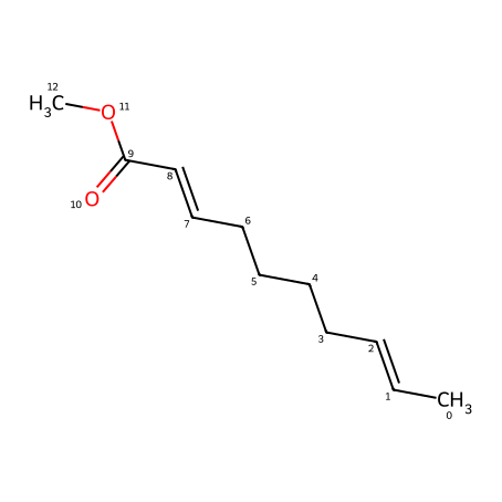 C/C=C/CCCC/C=C/C(=O)OC